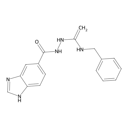 C=C(NCc1ccccc1)NNC(=O)c1ccc2[nH]cnc2c1